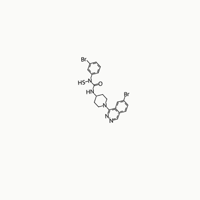 O=C(NC1CCN(c2nncc3ccc(Br)cc23)CC1)N(S)c1cccc(Br)c1